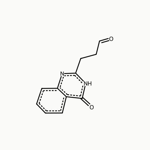 O=CCCc1nc2ccccc2c(=O)[nH]1